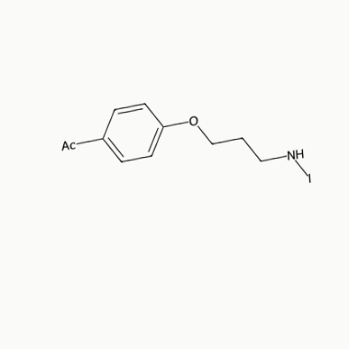 CC(=O)c1ccc(OCCCNI)cc1